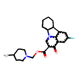 CC1CCN(COC(=O)c2cn3c4c(cc(F)cc4c2=O)C2CCCCC23)CC1